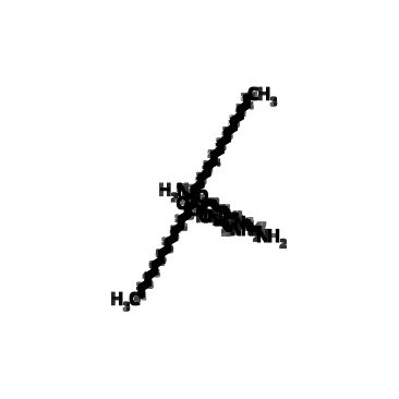 CCCCCCCCCCCCCCCCCCC(CCCCCCCCCCCCCCCCCC)(OC(CC(CCCNCCCN)NCCCN)C(=O)O)C(N)=O